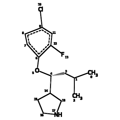 CC(C)C[C@@H](Oc1ccc(Cl)cc1F)C1CCNC1